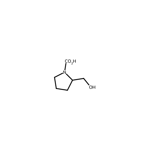 O=C(O)N1CCCC1CO